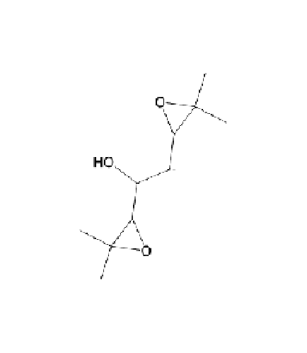 CC1(C)OC1[CH]C(O)C1OC1(C)C